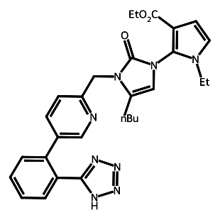 CCCCc1cn(-c2c(C(=O)OCC)ccn2CC)c(=O)n1Cc1ccc(-c2ccccc2-c2nnn[nH]2)cn1